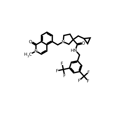 Cn1ccc2c(CN3CCC(CC4CC4)(C(=O)NCc4cc(C(F)(F)F)cc(C(F)(F)F)c4)C3)cccc2c1=O